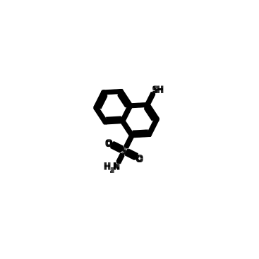 NS(=O)(=O)c1ccc(S)c2ccccc12